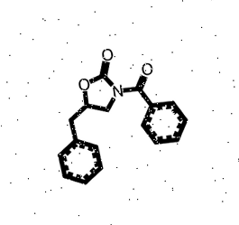 O=C1OC(Cc2ccccc2)CN1C(=O)c1ccccc1